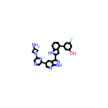 NC1CN(c2cncc(-c3cnc4[nH]nc(-c5cc6c(-c7cc(O)cc(F)c7)cccc6[nH]5)c4c3)n2)C1